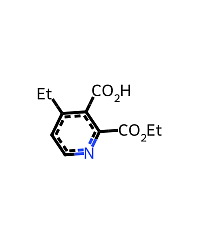 CCOC(=O)c1nccc(CC)c1C(=O)O